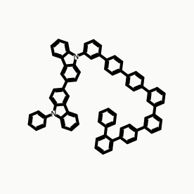 c1ccc(-c2ccccc2-c2ccc(-c3cccc(-c4cccc(-c5ccc(-c6ccc(-c7cccc(-n8c9ccccc9c9cc(-c%10ccc%11c(c%10)c%10ccccc%10n%11-c%10ccccc%10)ccc98)c7)cc6)cc5)c4)c3)cc2)cc1